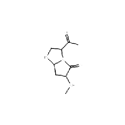 CNC1CC2NCC(C(C)=O)N2C1=O